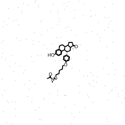 CC(=O)N(C)OCCCCCOc1ccc([C@H]2C[C@]3(C)C(=O)CCC3C3CCc4cc(O)ccc4C32)cc1